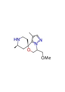 COCC1CO[C@@]2(CCN[C@H](C)C2)c2c(C)cnn21